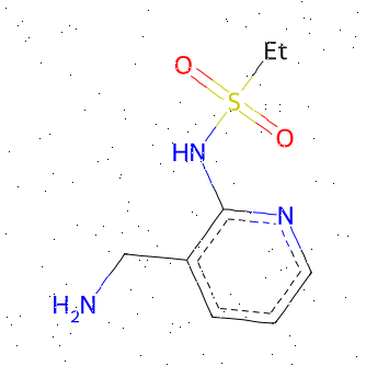 CCS(=O)(=O)Nc1ncccc1CN